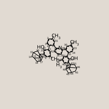 Cc1ccc(-c2cc(C)cc(C34CC5CC(CC(C5)C3)C4)c2O)c(-c2cccc(-c3cc(C)ccc3-c3cc(C)cc(C45CC6CC(CC(C6)C4)C5)c3O)n2)c1